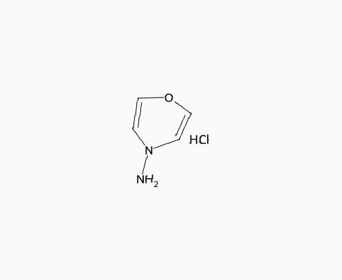 Cl.NN1C=COC=C1